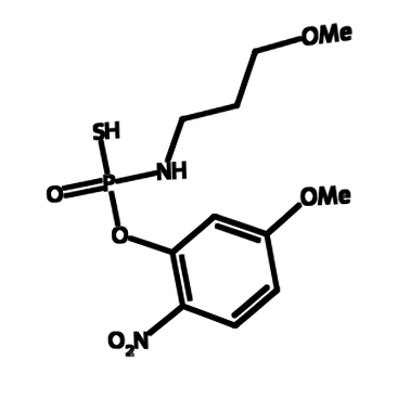 COCCCNP(=O)(S)Oc1cc(OC)ccc1[N+](=O)[O-]